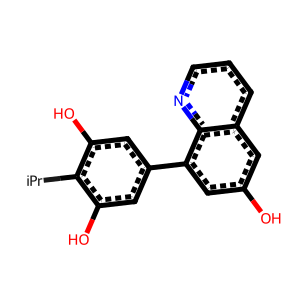 CC(C)c1c(O)cc(-c2cc(O)cc3cccnc23)cc1O